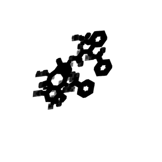 CC(=O)O[C@H]1C(=O)[C@]2(C)C(O)C[C@H]3OC[C@@]3(OC(C)=O)C2[C@H](OC(=O)c2ccccc2)[C@]2(O)C[C@H](OC(=O)[C@H](O[Si](C)(C)C(C)(C)C)C(NC(=O)c3ccccc3)c3ccccc3)C(C)=C1C2(C)C